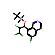 CC(C)(C)[Si](C)(C)OC(c1cc(F)cc2ccncc12)C(F)C(F)F